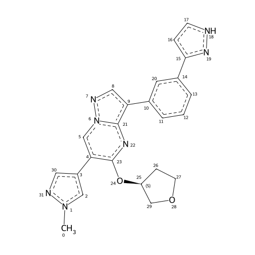 Cn1cc(-c2cn3ncc(-c4cccc(-c5cc[nH]n5)c4)c3nc2O[C@H]2CCOC2)cn1